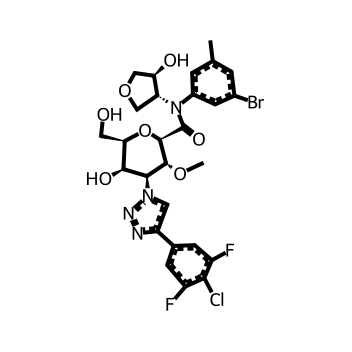 CO[C@@H]1[C@@H](n2cc(-c3cc(F)c(Cl)c(F)c3)nn2)[C@@H](O)[C@@H](CO)O[C@H]1C(=O)N(c1cc(C)cc(Br)c1)[C@@H]1COC[C@H]1O